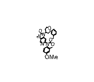 COc1ccc(N(C(=O)OCc2ccccc2)c2cc3c(cn2)n(C)c(=O)n3C2CCOCC2)c(C)c1